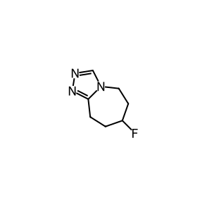 FC1CCc2nncn2CC1